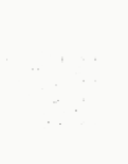 O=C(Nc1cc(F)c(F)c(Cc2ccc3ncc(N4CCOCC4)nc3c2)c1)c1ccc(F)cc1